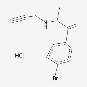 C#CCNC(C)C(=C)c1ccc(Br)cc1.Cl